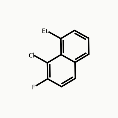 CCc1cccc2ccc(F)c(Cl)c12